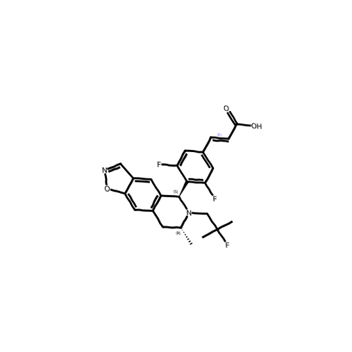 C[C@@H]1Cc2cc3oncc3cc2[C@@H](c2c(F)cc(/C=C/C(=O)O)cc2F)N1CC(C)(C)F